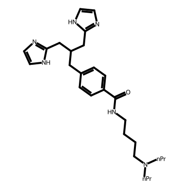 CCCN(CCC)CCCCNC(=O)c1ccc(CC(Cc2ncc[nH]2)Cc2ncc[nH]2)cc1